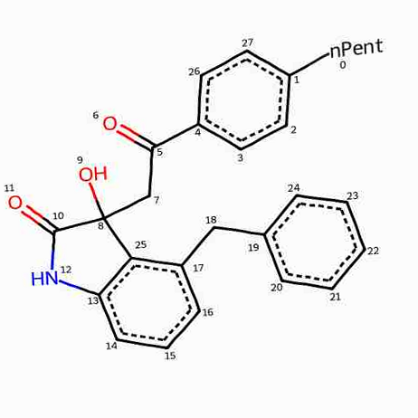 CCCCCc1ccc(C(=O)CC2(O)C(=O)Nc3cccc(Cc4ccccc4)c32)cc1